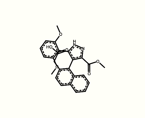 COC(=O)c1n[nH]c(-c2c(OC)cccc2OC)c1-c1c(CC(=O)O)ccc2ccccc12